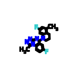 Cc1cc(F)cc2c1CCCN2c1nc2nnc(C)n2c2ccc(F)cc12